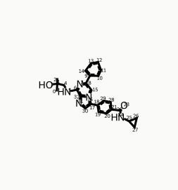 CC(C)(O)CNc1nc(-c2ccccc2)cn2c(-c3ccc(C(=O)NC4CC4)cc3)cnc12